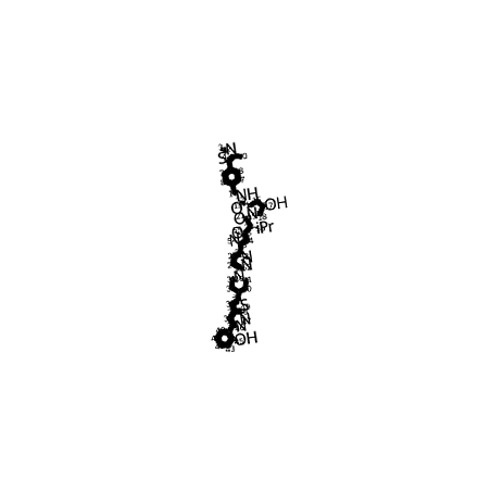 Cc1ncsc1-c1ccc(CNC(=O)[C@@H]2C[C@@H](O)CN2C(=O)[C@@H](c2cc(-c3ccc(N4CCC(c5cc6cc(-c7ccccc7O)nnc6s5)CC4)nn3)no2)C(C)C)cc1